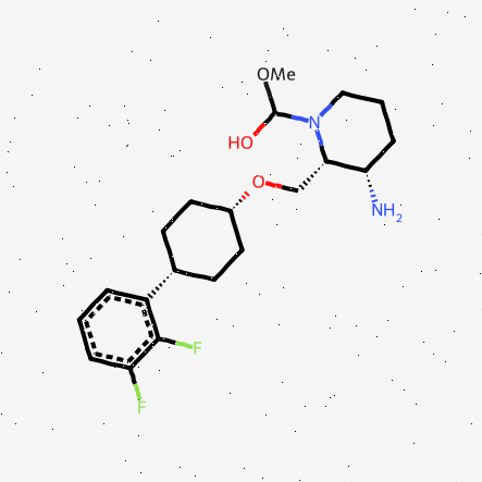 COC(O)N1CCC[C@H](N)[C@@H]1CO[C@H]1CC[C@@H](c2cccc(F)c2F)CC1